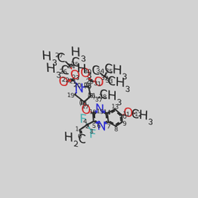 C=CC(F)(F)c1nc2ccc(OC)cc2nc1O[C@H]1CN(C(=O)OC(C)(C)C)[C@H](C(=O)OC(C)(C)C)[C@@H]1CC